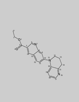 CCOC(=O)c1cnc2cc(N3CCCc4ncccc43)ccc2c1